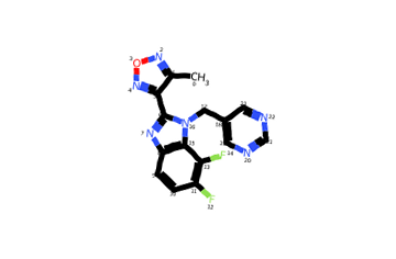 Cc1nonc1-c1nc2ccc(F)c(F)c2n1Cc1cncnc1